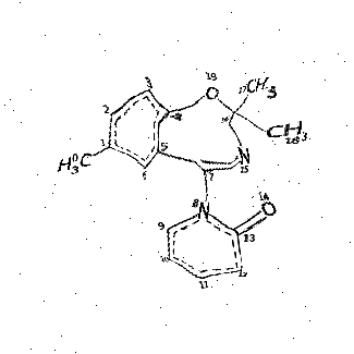 Cc1ccc2c(c1)C(n1ccccc1=O)=NC(C)(C)O2